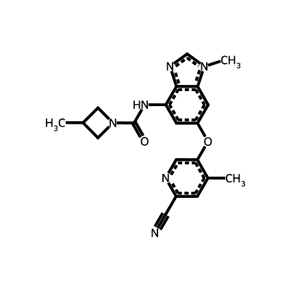 Cc1cc(C#N)ncc1Oc1cc(NC(=O)N2CC(C)C2)c2ncn(C)c2c1